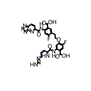 N=N/N=C/C=C\C(=N)C(=O)Nc1cc(OCCc2cc(C(=O)O)c(NC(=O)c3ccc4nnnn4n3)cc2F)c(F)cc1C(=O)O